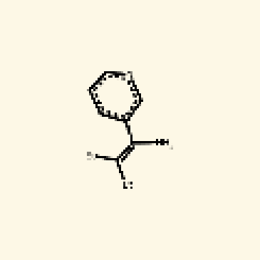 CCC(CC)=C(N)c1cccnc1